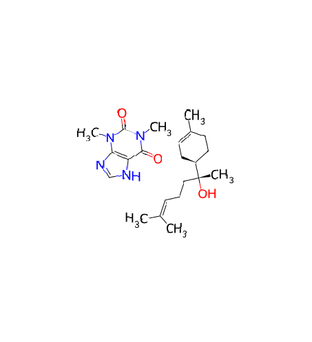 CC(C)=CCC[C@@](C)(O)[C@H]1CC=C(C)CC1.Cn1c(=O)c2[nH]cnc2n(C)c1=O